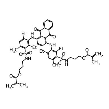 C=C(C)C(=O)OCCCNS(=O)(=O)c1c(C)cc(CC)c(Nc2ccc(Nc3c(CC)cc(C)c(S(=O)(=O)NCCCOC(=O)C(=C)C)c3CC)c3c2C(=O)c2ccccc2C3=O)c1CC